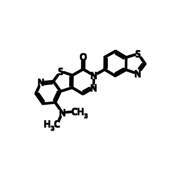 CN(C)c1ccnc2sc3c(=O)n(-c4ccc5scnc5c4)ncc3c12